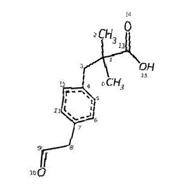 CC(C)(Cc1ccc(CC=O)cc1)C(=O)O